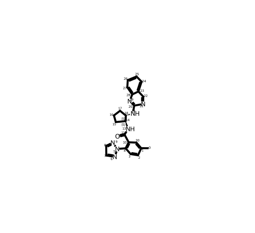 Cc1ccc(-n2nccn2)c(C(=O)N[C@H]2CCC[C@@H]2Nc2ncc3ccccc3n2)c1